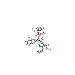 COc1ccc(-c2ccc(Oc3ccccc3C(C)(C)C)c(NC(=O)Nc3c(Cl)cccc3Cl)c2)cc1C(=O)O